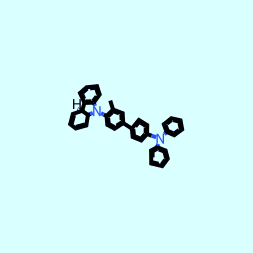 Cc1cc(-c2ccc(N(c3ccccc3)c3ccccc3)cc2)ccc1N1c2ccccc2[C@@H]2C=CC=CC21